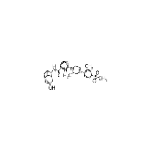 Cc1cc(S(C)(=O)=O)ccc1N1CCN(c2nccc(C(=O)NC3C4CC5CC3CC(O)(C5)C4)n2)C(C)C1